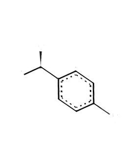 CC(C)c1ccc([C@@H](C)C(F)(F)F)cc1